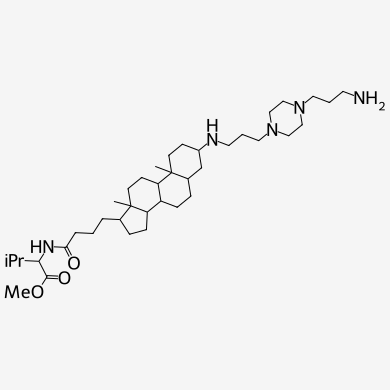 COC(=O)C(NC(=O)CCCC1CCC2C3CCC4CC(NCCCN5CCN(CCCN)CC5)CCC4(C)C3CCC12C)C(C)C